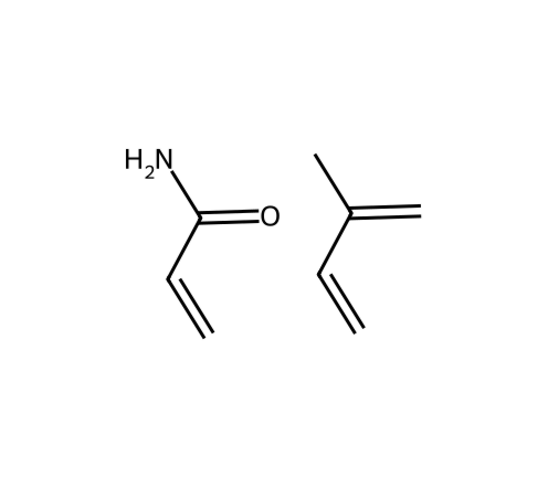 C=CC(=C)C.C=CC(N)=O